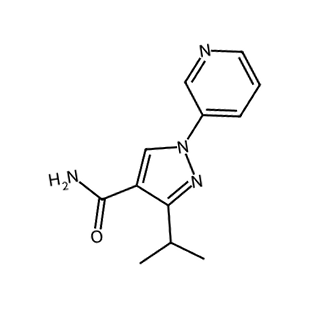 CC(C)c1nn(-c2cccnc2)cc1C(N)=O